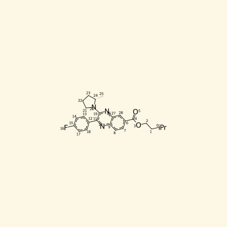 CC(C)CCOC(=O)c1ccc2nc(-c3ccc(F)cc3)c(N3CCC[C@@H]3C)nc2c1